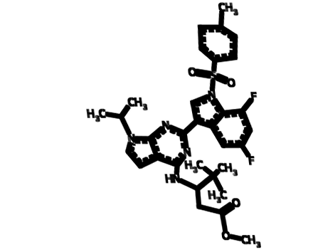 COC(=O)CC(Nc1nc(-c2cn(S(=O)(=O)c3ccc(C)cc3)c3c(F)cc(F)cc23)nc2c1ccn2C(C)C)C(C)(C)C